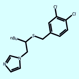 CCCCC(Cn1ccnc1)SCc1ccc(Cl)c(Cl)c1